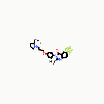 Cc1nc2ccc(S(F)(F)(F)(F)F)cc2c(=O)n1-c1ccc(OCCCN2CCC[C@H]2C)cc1